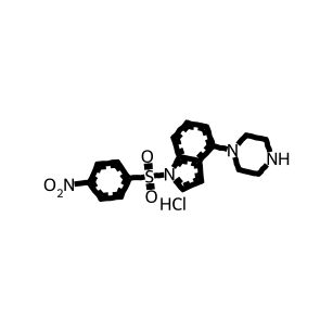 Cl.O=[N+]([O-])c1ccc(S(=O)(=O)n2ccc3c(N4CCNCC4)cccc32)cc1